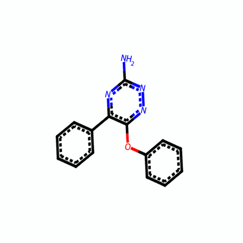 Nc1nnc(Oc2ccccc2)c(-c2ccccc2)n1